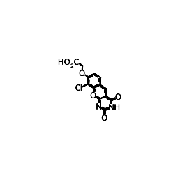 O=C(O)COc1ccc2cc3c(=O)[nH]c(=O)nc-3oc2c1Cl